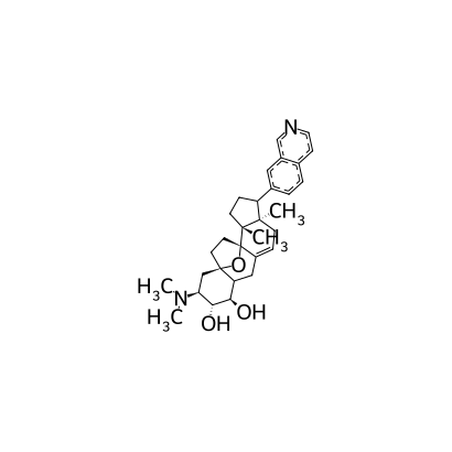 CN(C)[C@H]1C[C@@]23CC[C@]4(O2)C(=CC[C@]2(C)C(c5ccc6ccncc6c5)CC[C@@]42C)CC3[C@@H](O)[C@@H]1O